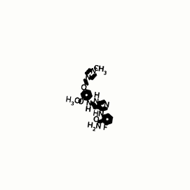 COc1cc(OCCN2CCN(C)CC2)ccc1Nc1cc2c(Nc3cccc(F)c3C(N)=O)cncc2[nH]1